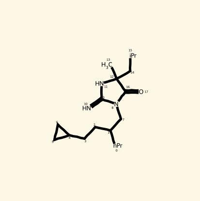 CCCC(CCC1CC1)CN1C(=N)NC(C)(CC(C)C)C1=O